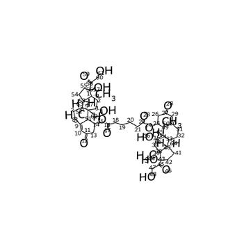 C[C@]12C[C@H](O)[C@H]3[C@@H](CCC4=CC(=O)CC(OC(=O)CCCCC(=O)OC5CC(=O)C=C6CC[C@@H]7[C@H]([C@@H](O)C[C@@]8(C)[C@H]7CC[C@]8(O)C(=O)CO)[C@]65C)[C@@]43C)[C@@H]1CC[C@]2(O)C(=O)CO